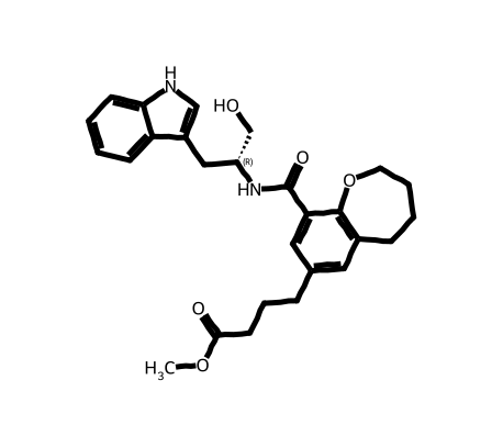 COC(=O)CCCc1cc2c(c(C(=O)N[C@@H](CO)Cc3c[nH]c4ccccc34)c1)OCCCC2